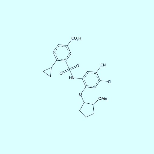 COC1CCCC1Oc1cc(Cl)c(C#N)cc1NS(=O)(=O)c1cc(C(=O)O)ccc1C1CC1